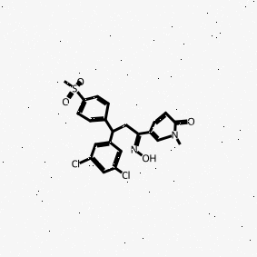 Cn1cc(C(CC(c2ccc(S(C)(=O)=O)cc2)c2cc(Cl)cc(Cl)c2)=NO)ccc1=O